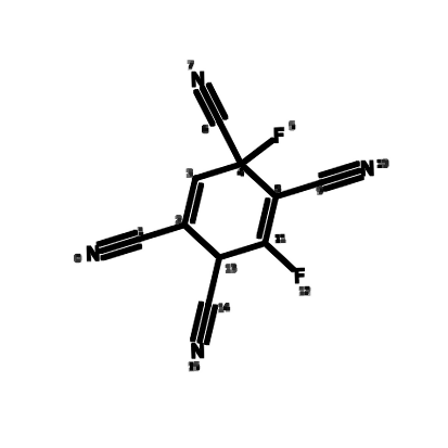 N#CC1=CC(F)(C#N)C(C#N)=C(F)C1C#N